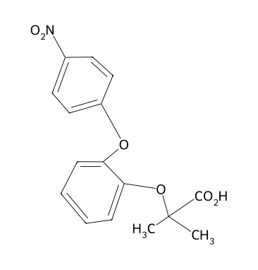 CC(C)(Oc1ccccc1Oc1ccc([N+](=O)[O-])cc1)C(=O)O